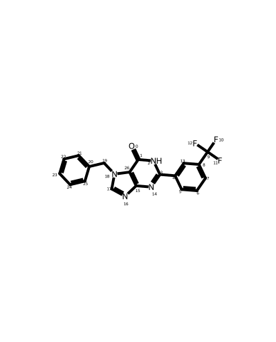 O=c1[nH]c(-c2cccc(C(F)(F)F)c2)nc2ncn(Cc3ccccc3)c12